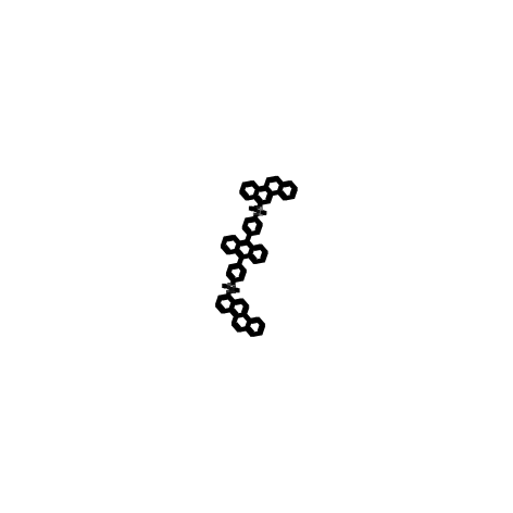 C[Si](C)(c1ccc(-c2c3ccccc3c(-c3ccc([Si](C)(C)c4cc5c6ccccc6ccc5c5ccccc45)cc3)c3ccccc23)cc1)c1cccc2c1ccc1c3ccccc3ccc21